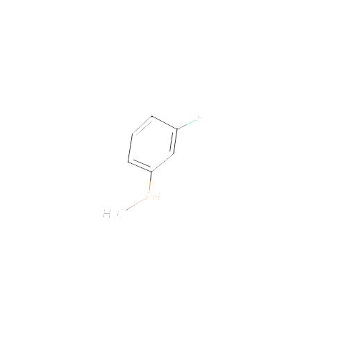 CPc1cccc(F)c1